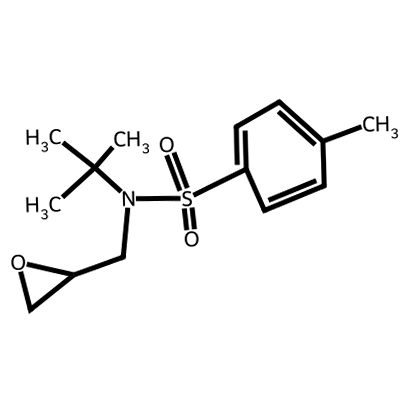 Cc1ccc(S(=O)(=O)N(CC2CO2)C(C)(C)C)cc1